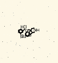 CC(C)(C)c1cccc(COCC2(c3ccccc3)CCNCC2Cl)c1.Cl